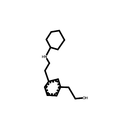 OCCc1cccc(CCNC2CCCCC2)c1